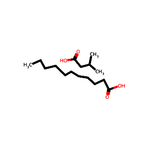 CC(C)CC(=O)O.CCCCCCCCCCC(=O)O